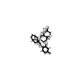 O=C1CO[C@H]2CCN(C(=O)N3C4CCC3CC(COc3ccc(F)cc3Cl)C4)C[C@H]2N1